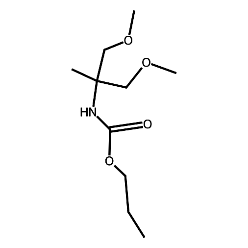 CCCOC(=O)NC(C)(COC)COC